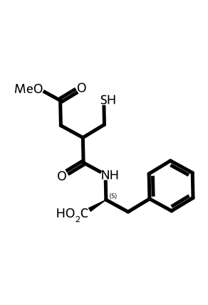 COC(=O)CC(CS)C(=O)N[C@@H](Cc1ccccc1)C(=O)O